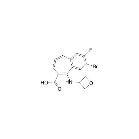 O=C(O)C1=C(NC2COC2)c2cc(Br)c(F)cc2C=C=C1